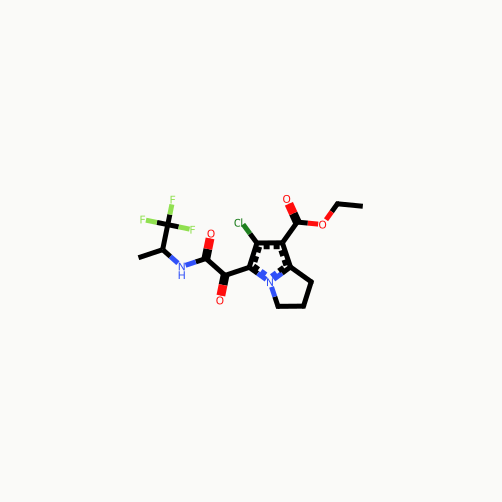 CCOC(=O)c1c(Cl)c(C(=O)C(=O)NC(C)C(F)(F)F)n2c1CCC2